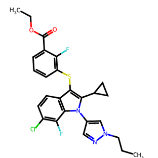 CCCn1cc(-n2c(C3CC3)c(Sc3cccc(C(=O)OCC)c3F)c3ccc(Cl)c(F)c32)cn1